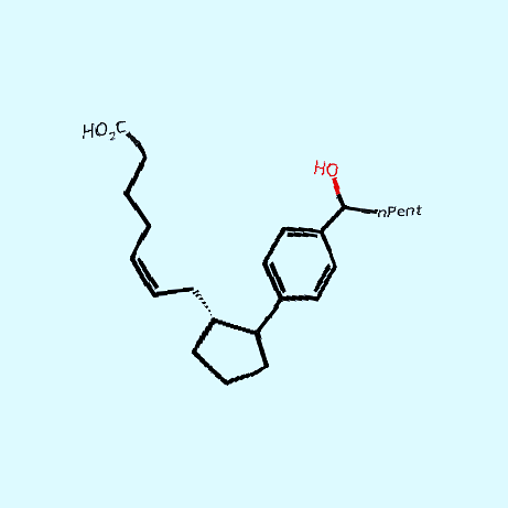 CCCCCC(O)c1ccc(C2CCC[C@@H]2C/C=C\CCCC(=O)O)cc1